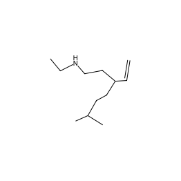 C=CC(CCNCC)CCC(C)C